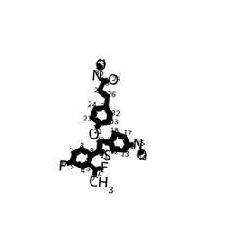 CC(F)c1cc(F)ccc1-c1sc2cc(N=O)ccc2c1Oc1ccc(/C=C/C(=O)N=O)cc1